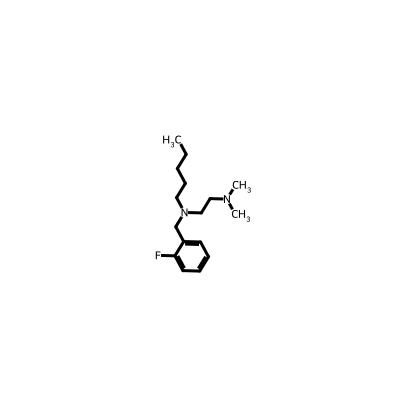 CCCCCN(CCN(C)C)Cc1ccccc1F